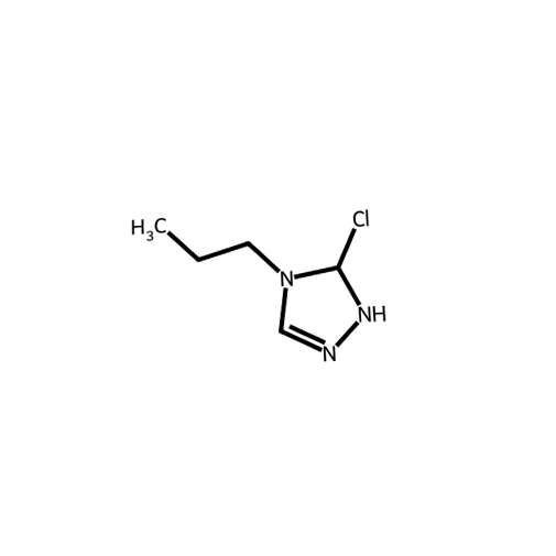 CCCN1C=NNC1Cl